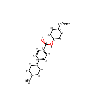 CCCCCC1CCC(OC(=O)c2ccc(C3CCC(CCC)CC3)cc2)CC1